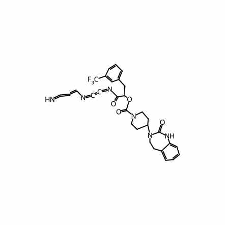 N=C=C=CN=C=C=NC(=O)[C@@H](Cc1cccc(C(F)(F)F)c1)OC(=O)N1CCC(N2CCc3ccccc3NC2=O)CC1